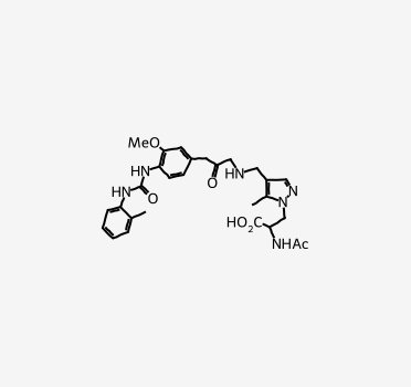 COc1cc(CC(=O)CNCc2cnn(CC(NC(C)=O)C(=O)O)c2C)ccc1NC(=O)Nc1ccccc1C